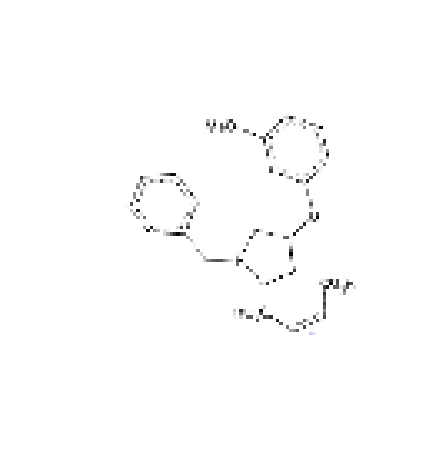 COc1cccc(OC2CCN(Cc3ccccc3)C2)c1.O=C(O)/C=C\C(=O)O